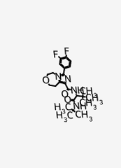 CC(C)(C)NC(=O)[C@@H](NC(=O)c1nc(-c2ccc(F)c(F)c2)n2c1CCOCC2)C(C)(C)C